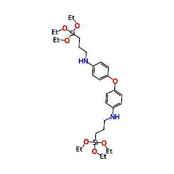 CCO[Si](CCCNc1ccc(Oc2ccc(NCCC[Si](OCC)(OCC)OCC)cc2)cc1)(OCC)OCC